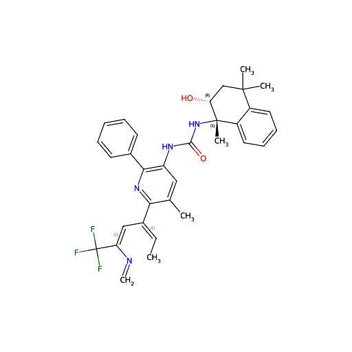 C=N/C(=C\C(=C/C)c1nc(-c2ccccc2)c(NC(=O)N[C@@]2(C)c3ccccc3C(C)(C)C[C@H]2O)cc1C)C(F)(F)F